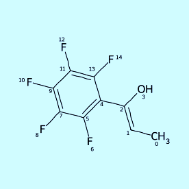 CC=C(O)c1c(F)c(F)c(F)c(F)c1F